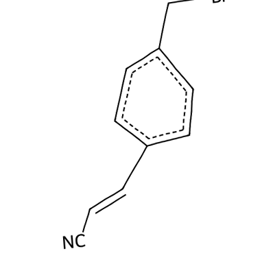 N#C/C=C/c1ccc(CBr)cc1